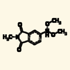 CO[SiH](OC)c1ccc2c(c1)C(=O)N(C)C2=O